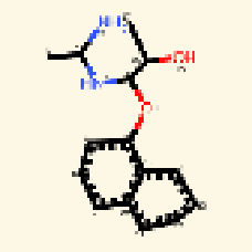 CC(N)NC(Oc1cccc2ccccc12)C(C)O